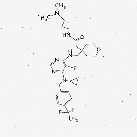 CN(C)CCCNC(=O)CC1(CNc2ncnc(N(Cc3ccc(C(C)(F)F)cc3)C3CC3)c2F)CCOCC1